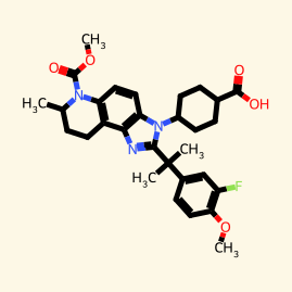 COC(=O)N1c2ccc3c(nc(C(C)(C)c4ccc(OC)c(F)c4)n3C3CCC(C(=O)O)CC3)c2CCC1C